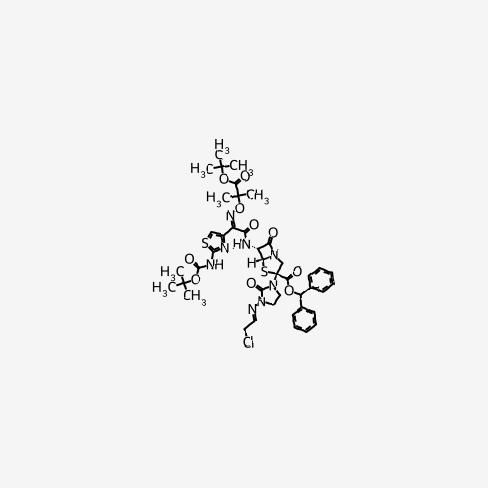 CC(C)(C)OC(=O)Nc1nc(/C(=N/OC(C)(C)C(=O)OC(C)(C)C)C(=O)N[C@@H]2C(=O)N3C[C@@](C(=O)OC(c4ccccc4)c4ccccc4)(N4CCN(/N=C/CCl)C4=O)S[C@H]23)cs1